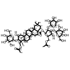 CC(=O)OC[C@H]1O[C@@H](OC(=O)[C@]23CCC(C)(C)C[C@H]2C2=CC[C@@H]4[C@@]5(C)C[C@H](O)[C@H](O[C@@H]6O[C@H](CO)[C@@H](O)[C@H](O)[C@H]6O)[C@@](C)(COC(C)=O)[C@@H]5CC[C@@]4(C)[C@]2(C)CC3)[C@H](O[C@@H]2O[C@@H](C)[C@H](O)[C@@H](O)[C@H]2O)[C@@H](O[C@@H]2O[C@H](CO)[C@H](O)[C@H](O)[C@H]2O)[C@@H]1O